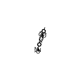 Cc1cc(C)c(S(=O)(=O)N2CCN(c3ccc(-c4noc(C)n4)cc3)CC2)c(C)c1